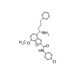 COc1ccc(C(N)CCCc2ccccc2)c2cc(C(=O)Nc3ccc(Cl)cc3)oc12